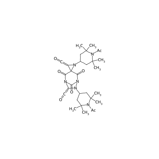 CC(=O)N1C(C)(C)CC(N2C(=C=O)N3C(=O)N2C(=O)C2(C3=O)C(=C=O)N2C2CC(C)(C)N(C(C)=O)C(C)(C)C2)CC1(C)C